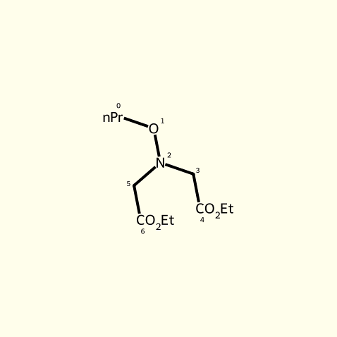 CCCON(CC(=O)OCC)CC(=O)OCC